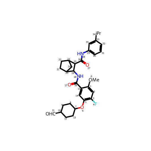 COc1cc(F)c(OC2CCC(C=O)CC2)cc1C(=O)NC1C2CCC(C2)C1C(=O)Nc1cccc(C(C)C)c1